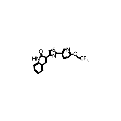 O=c1[nH]c2ccccc2cc1-c1csc(-c2ccc(OCC(F)(F)F)nc2)n1